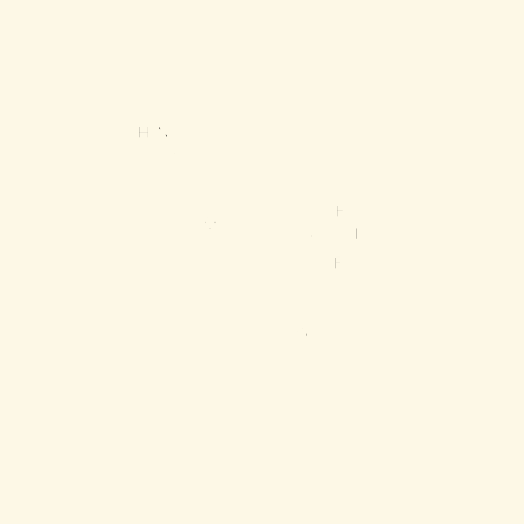 Cc1ccc(Oc2ccc(C(C)(c3ccc(Oc4ccc(N)cc4)cc3)C(F)(F)F)cc2)cc1